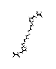 C=C(C)C(=O)SCC1CSC(CSCCCCCCSCC2SCC(CSC(=O)C(=C)C)S2)S1